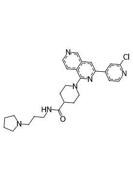 O=C(NCCCN1CCCC1)C1CCN(c2nc(-c3ccnc(Cl)c3)cc3cnccc23)CC1